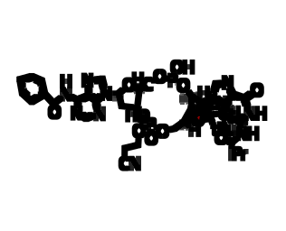 CC(C)C(=O)Nc1nc2c(ncn2C2O[C@@H]3COP(=O)(OCCC#N)O[C@H]4C[C@H](n5cnc6c(NC(=O)c7ccccc7)ncnc65)O[C@@H]4COP(O)O[C@@H]2[C@@H]3O[Si](C)(C)C(C)(C)C)c(=O)[nH]1